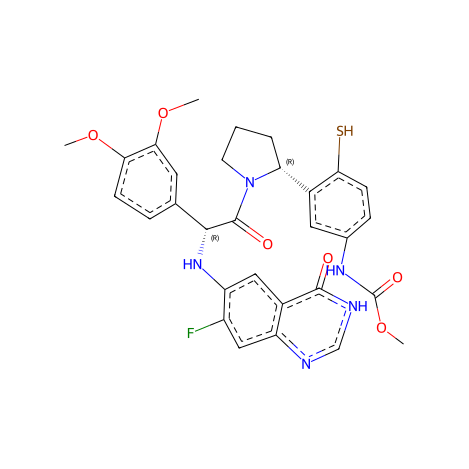 COC(=O)Nc1ccc(S)c([C@H]2CCCN2C(=O)[C@H](Nc2cc3c(=O)[nH]cnc3cc2F)c2ccc(OC)c(OC)c2)c1